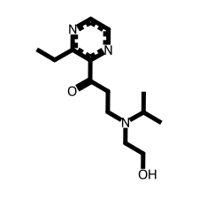 CCc1nccnc1C(=O)CCN(CCO)C(C)C